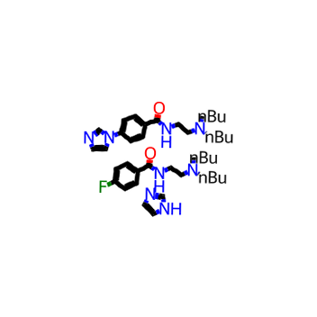 CCCCN(CCCC)CCNC(=O)c1ccc(-n2ccnc2)cc1.CCCCN(CCCC)CCNC(=O)c1ccc(F)cc1.c1c[nH]cn1